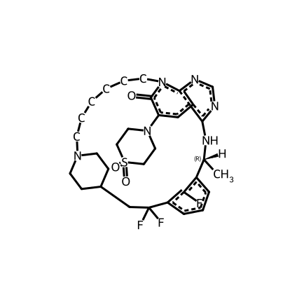 C[C@H]1Nc2ncnc3c2cc(N2CCS(=O)(=O)CC2)c(=O)n3CCCCCCN2CCC(CC2)CC(F)(F)c2cccc1c2F